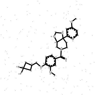 COc1ccnc(C23CCN(C(=O)c4ccc(OCC5CC(F)(F)C5)c(OC)c4)CC2OCO3)c1